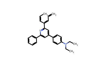 C=C/C=C(\C=C/C)c1cc(-c2ccc(N(CC)CC)cc2)cc(-c2ccccc2)n1